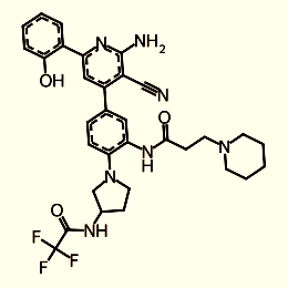 N#Cc1c(-c2ccc(N3CCC(NC(=O)C(F)(F)F)C3)c(NC(=O)CCN3CCCCC3)c2)cc(-c2ccccc2O)nc1N